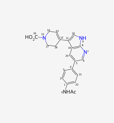 CC(=O)Nc1ccc(-c2cnc3[nH]cc(C4=CCN(C(=O)O)CC4)c3c2)cc1